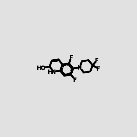 OC1C=Cc2c(cc(F)c(N3CCC(F)(F)CC3)c2F)N1